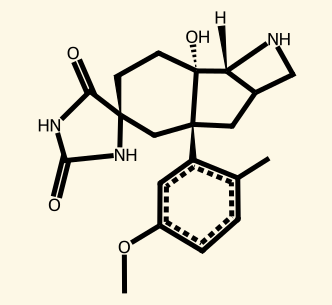 COc1ccc(C)c([C@]23CC4CN[C@H]4[C@]2(O)CC[C@@]2(C3)NC(=O)NC2=O)c1